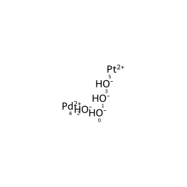 [OH-].[OH-].[OH-].[OH-].[Pd+2].[Pt+2]